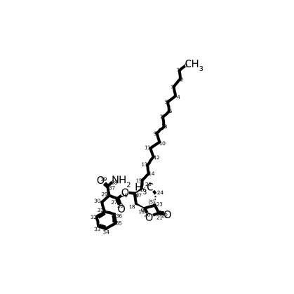 CCCCCCCCCCCCCCCCC[C@@H](C[C@@H]1OC(=O)[C@H]1CC)OC(=O)C(Cc1ccccc1)C(N)=O